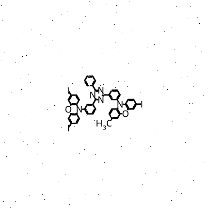 Cc1ccc2c(c1)Oc1cc(I)ccc1N2c1cccc(-c2nc(-c3ccccc3)nc(-c3cccc(N4c5ccc(I)cc5Oc5cc(I)ccc54)c3)n2)c1